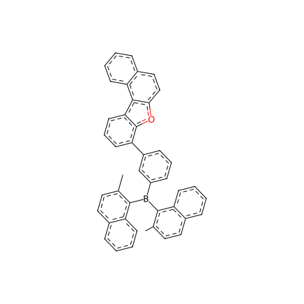 Cc1ccc2ccccc2c1B(c1cccc(-c2cccc3c2oc2ccc4ccccc4c23)c1)c1c(C)ccc2ccccc12